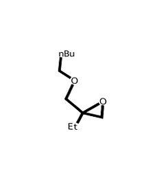 CCCCCOCC1(CC)CO1